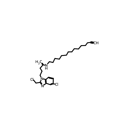 C#CCCCCCCCCCCCCCNC(=C)CCCn1c(CCl)nc2cc(Cl)ccc21